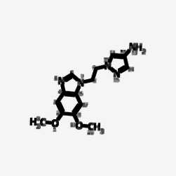 COc1cc2ncn(CCn3cc(N)cn3)c2cc1OC